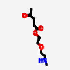 CNCCOCCOC(=O)CCC(C)=O